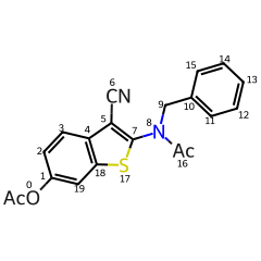 CC(=O)Oc1ccc2c(C#N)c(N(Cc3ccccc3)C(C)=O)sc2c1